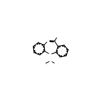 ClC1=Nc2ccccc2Sc2ccccc21.ClNCl